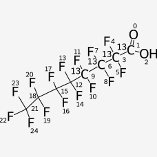 O=[13C](O)[13C](F)(F)[13C](F)(F)[13C](F)(F)C(F)(F)C(F)(F)C(F)(F)C(F)(F)F